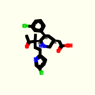 CC(=O)C(C)(CCc1ccc(Cl)cn1)[C@H]1NC[C@@H](CC(=O)O)C[C@@H]1c1cccc(Cl)c1